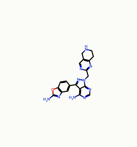 Nc1nc2cc(-c3nn(Cc4ncc5c(n4)CCNC5)c4ncnc(N)c34)ccc2o1